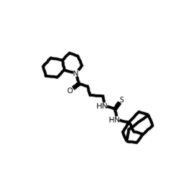 O=C(CCCNC(=S)NC12CC3CC(CC(C3)C1)C2)N1CCCC2CCCCC21